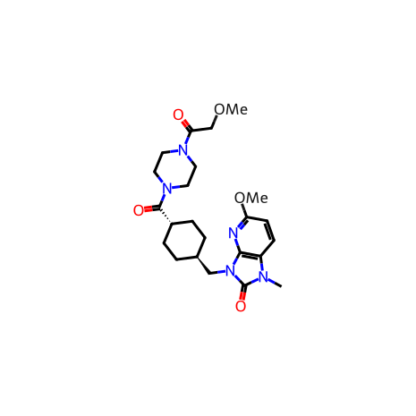 COCC(=O)N1CCN(C(=O)[C@H]2CC[C@H](Cn3c(=O)n(C)c4ccc(OC)nc43)CC2)CC1